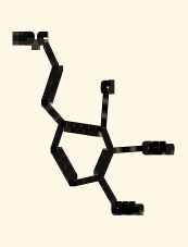 COc1ccc(C=CC(=O)O)c(Cl)c1OC